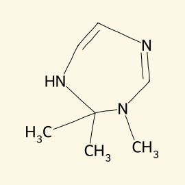 CN1C=NC=CNC1(C)C